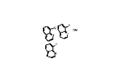 [Al+3].[Al].[O-]c1cccc2cccnc12.[O-]c1cccc2cccnc12.[O-]c1cccc2cccnc12